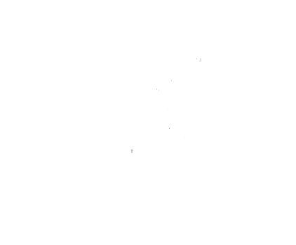 CC(C)(C)N(CC(=O)NCc1cccc(Cl)c1F)C(=O)Cn1nc(C(N)=O)c2ccccc21